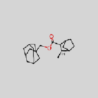 C[C@@H]1C2CCC(C2)C1C(=O)OCC12CC3CC(CC(C3)C1)C2